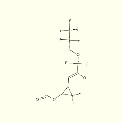 CC1(C)C(C=C(Cl)C(F)(F)OCC(F)(F)C(F)(F)F)C1OC=O